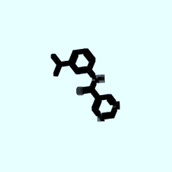 CC(C)c1cccc(NC(=O)c2cncnc2)c1